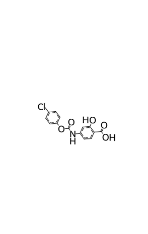 O=C(Nc1ccc(C(=O)O)c(O)c1)Oc1ccc(Cl)cc1